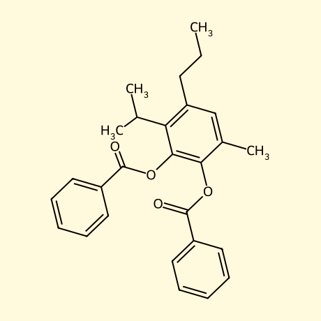 CCCc1cc(C)c(OC(=O)c2ccccc2)c(OC(=O)c2ccccc2)c1C(C)C